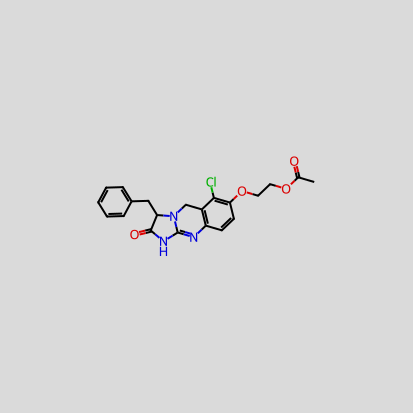 CC(=O)OCCOc1ccc2c(c1Cl)CN1C(=N2)NC(=O)C1Cc1ccccc1